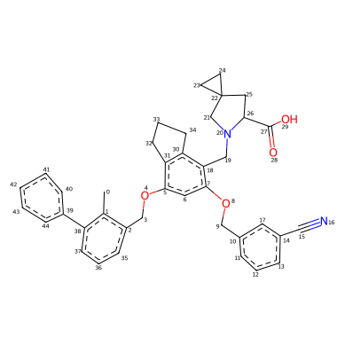 Cc1c(COc2cc(OCc3cccc(C#N)c3)c(CN3CC4(CC4)CC3C(=O)O)c3c2CCC3)cccc1-c1ccccc1